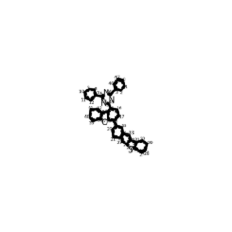 c1ccc(-c2nc(-c3ccccc3)nc(-c3ccc(-c4ccc5cc6sc7ccccc7c6cc5c4)c4oc5ccccc5c34)n2)cc1